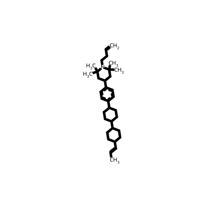 C=CCCN1C(C)(C)CC(c2ccc(C3CCC(C4CCC(/C=C/C)CC4)CC3)cc2)CC1(C)C